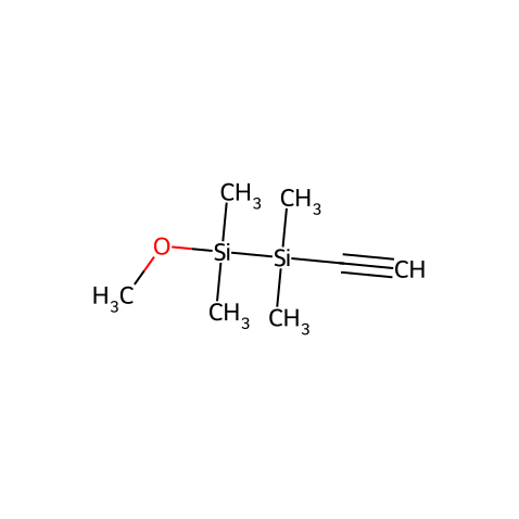 C#C[Si](C)(C)[Si](C)(C)OC